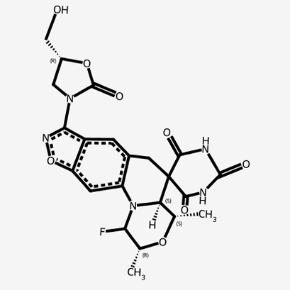 C[C@@H]1O[C@H](C)C(F)N2c3cc4onc(N5C[C@H](CO)OC5=O)c4cc3CC3(C(=O)NC(=O)NC3=O)[C@@H]12